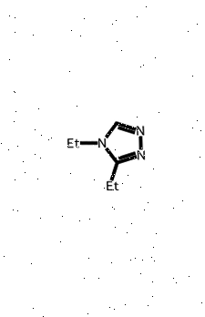 CCc1nncn1CC